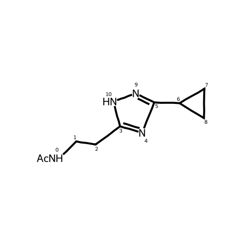 CC(=O)NCCc1nc(C2CC2)n[nH]1